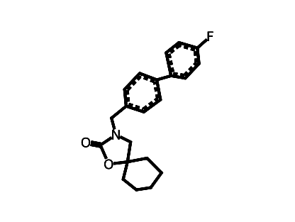 O=C1OC2(CCCCC2)CN1Cc1ccc(-c2ccc(F)cc2)cc1